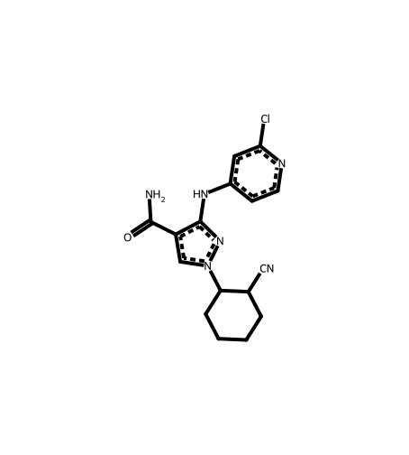 N#CC1CCCCC1n1cc(C(N)=O)c(Nc2ccnc(Cl)c2)n1